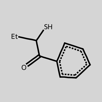 CCC(S)C(=O)c1ccccc1